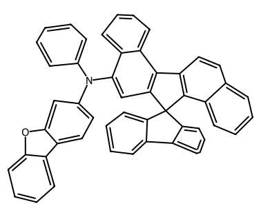 c1ccc(N(c2ccc3c(c2)oc2ccccc23)c2cc3c(c4ccccc24)-c2ccc4ccccc4c2C32c3ccccc3-c3ccccc32)cc1